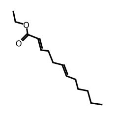 CCCCCC=CCCC=CC(=O)OCC